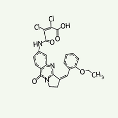 CCOc1ccccc1/C=C1/CCn2c1nc1cc(NC(=O)/C(Cl)=C(/Cl)C(=O)O)ccc1c2=O